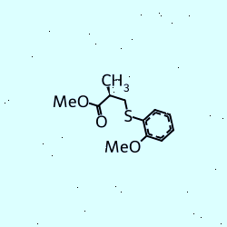 COC(=O)[C@@H](C)CSc1ccccc1OC